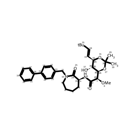 CO[C@@H](C(=O)N[C@H]1CCCCN(Cc2ccc(-c3ccccc3)cc2)C1=O)[C@@H]1OC(C)(C)O[C@H](C=CC(C)(C)C)[C@H]1O